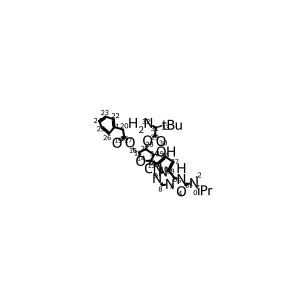 CC(C)N(C)C(=O)Nc1ncnn2c([C@]3(C#N)O[C@H](COC(=O)Cc4ccccc4)[C@@H](OC(=O)[C@@H](N)C(C)(C)C)[C@H]3O)ccc12